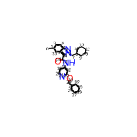 Cc1ccc2nn(CC3CCCCC3)c(C(=O)Nc3ccnc(OCc4ccccc4)c3)c2c1